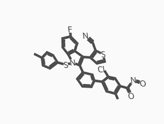 Cc1ccc(Sn2c(-c3cccc(-c4cc(C)c(C(=O)N=O)cc4Cl)c3)c(-c3ccsc3C#N)c3cc(F)ccc32)cc1